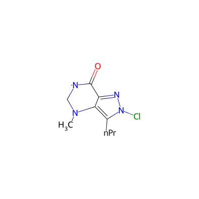 CCCc1c2c(nn1Cl)C(=O)[N]CN2C